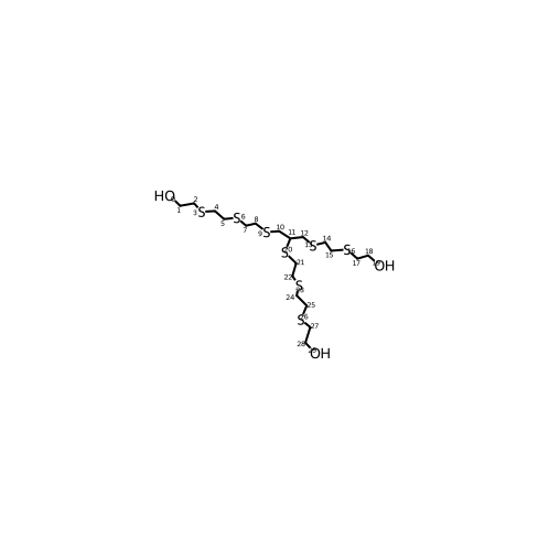 OCCSCCSCCSCC(CSCCSCCO)SCCSCCSCCO